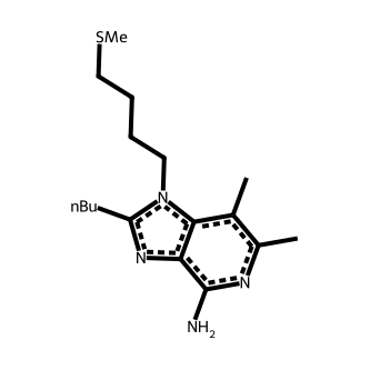 CCCCc1nc2c(N)nc(C)c(C)c2n1CCCCSC